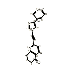 O=C1CCCc2nc(C#Cn3cnc(-c4cccnc4)c3)ccc21